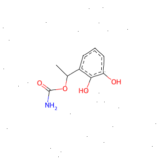 CC(OC(N)=O)c1cccc(O)c1O